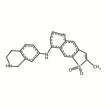 CC1=Cc2cc3nccc(Nc4ccc5c(c4)CNCC5)c3cc2S1(=O)=O